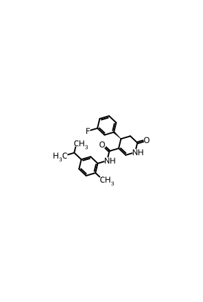 Cc1ccc(C(C)C)cc1NC(=O)C1=CNC(=O)C[C@@H]1c1cccc(F)c1